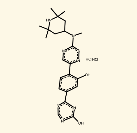 CN(c1ncc(-c2ccc(-c3ncnc(O)n3)cc2O)nn1)C1CC(C)(C)NC(C)(C)C1.Cl.Cl